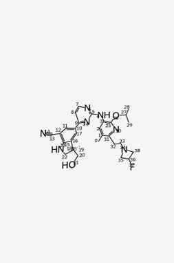 Cc1cc(Nc2nccc(-c3cc(C#N)c4c(c3)[C@@](C)(CO)CN4)n2)c(OC(C)C)nc1CCN1CC(F)C1